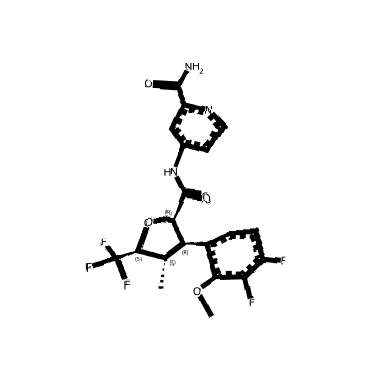 COc1c([C@H]2[C@H](C)[C@@H](C(F)(F)F)O[C@H]2C(=O)Nc2ccnc(C(N)=O)c2)ccc(F)c1F